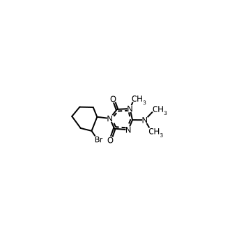 CN(C)c1nc(=O)n(C2CCCCC2Br)c(=O)n1C